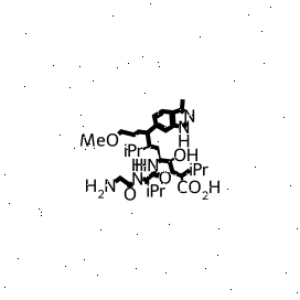 COCCCC(c1ccc2c(C)n[nH]c2c1)[C@@H](C[C@H](NC(=O)C(NC(=O)CN)C(C)C)[C@@H](O)C[C@H](C(=O)O)C(C)C)C(C)C